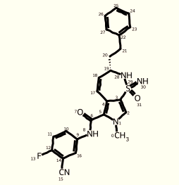 Cn1cc2c(c1C(=O)Nc1ccc(F)c(C#N)c1)C=C[C@H](CCc1ccccc1)NS2(=N)=O